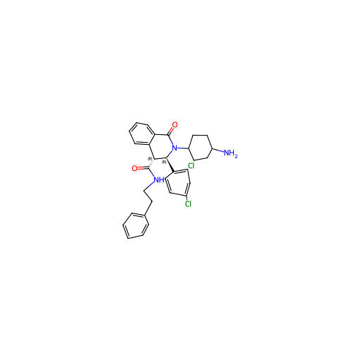 NC1CCC(N2C(=O)c3ccccc3[C@@H](C(=O)NCCc3ccccc3)[C@@H]2c2ccc(Cl)cc2Cl)CC1